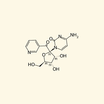 Nc1ccn([C@]2(C(=O)c3cccnc3)O[C@H](CO)[C@@H](O)[C@H]2O)c(=O)n1